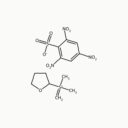 C=[S+](C)(C)C1CCCO1.O=[N+]([O-])c1cc([N+](=O)[O-])c(S(=O)(=O)[O-])c([N+](=O)[O-])c1